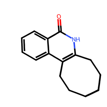 O=c1[nH]c2c(c3ccccc13)CCCCCC2